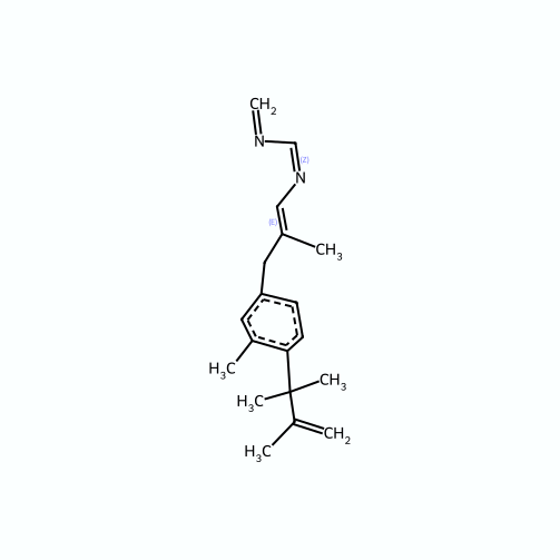 C=N/C=N\C=C(/C)Cc1ccc(C(C)(C)C(=C)C)c(C)c1